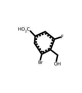 O=C(O)c1cc(F)c(CO)c(Br)c1